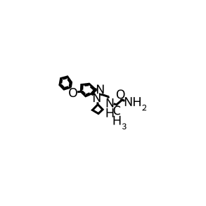 C[C@H](NCc1nc2ccc(Oc3ccccc3)cc2n1C1CCC1)C(N)=O